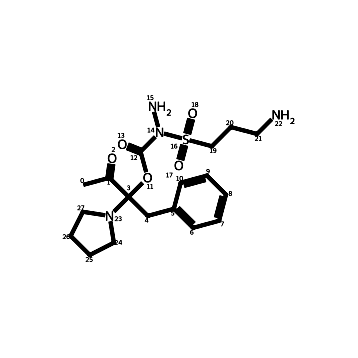 CC(=O)C(Cc1ccccc1)(OC(=O)N(N)S(=O)(=O)CCCN)N1CCCC1